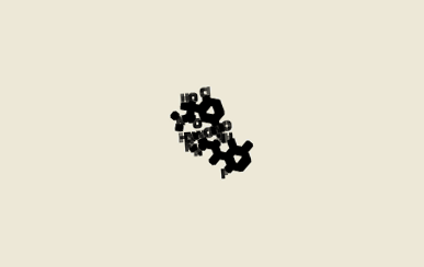 Cc1ccc(F)c(C(C)C(NS(=O)(=O)c2ccc(Cl)c(C(C)(O)C(=O)N(C)C)c2)c2nn[nH]n2)c1C